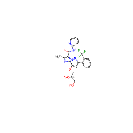 Cc1nc2c(OC[C@H](O)CO)cc(-c3ccccc3C(F)(F)F)nn2c1C(=O)Nc1ccccn1